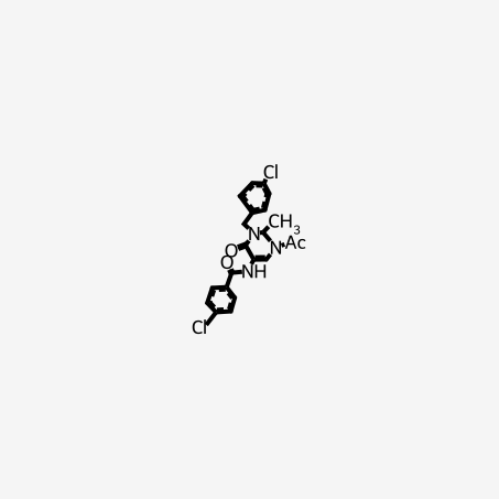 CC(=O)N1C=C(NC(=O)c2ccc(Cl)cc2)C(=O)N(Cc2ccc(Cl)cc2)C1C